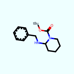 CC(C)(C)OC(=O)N1CCCCC1NCc1ccccc1